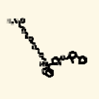 Cc1c(COc2ccc(C(NCCOCCOCCOCCOCCC(N)=O)C34CC5CC(CC(C5)C3)C4)cn2)cccc1-c1ccccc1